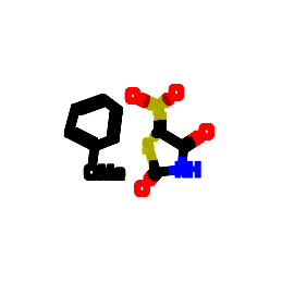 COc1ccccc1.O=C1NC(=O)C(=S(=O)=O)S1